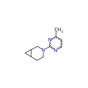 Cc1ccnc(N2CCC3CC3C2)n1